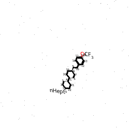 CCCCCCC[C@H]1CC[C@H]([C@H]2CC[C@H](CCc3ccc(OC(F)(F)F)cc3)CC2)CC1